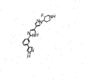 F[C@@H]1CNCCC1n1cc(C2=CN=C(c3cccc(-c4cn[nH]c4)c3)NC2)cn1